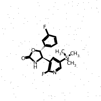 C[Si](C)(C)c1cnc(F)c([C@H]2NC(=O)O[C@@H]2c2cccc(F)c2)c1